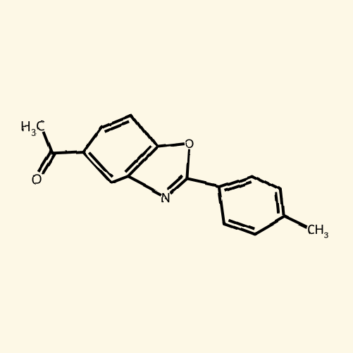 CC(=O)c1ccc2oc(-c3ccc(C)cc3)nc2c1